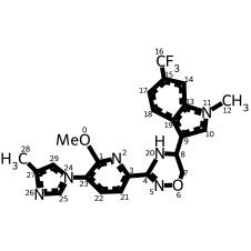 COc1nc(C2=NOCC(c3cn(C)c4cc(C(F)(F)F)ccc34)N2)ccc1-n1cnc(C)c1